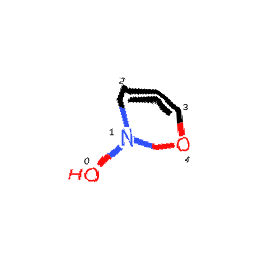 On1cco1